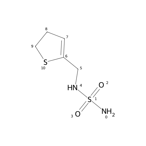 NS(=O)(=O)NCC1=CCCS1